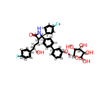 O=C1N[C@](c2ccc(F)cc2)(c2ccc(-c3cccc(OC[C@H]4OC(O)[C@H](O)[C@@H](O)[C@@H]4O)c3)cc2)[C@H]1CC[C@H](O)c1ccc(F)cc1